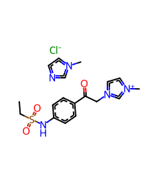 CCS(=O)(=O)Nc1ccc(C(=O)Cn2cc[n+](C)c2)cc1.Cn1ccnc1.[Cl-]